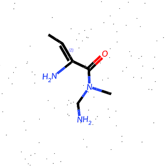 C/C=C(\N)C(=O)N(C)CN